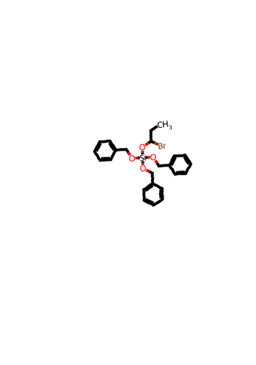 CCC(Br)O[Si](OCc1ccccc1)(OCc1ccccc1)OCc1ccccc1